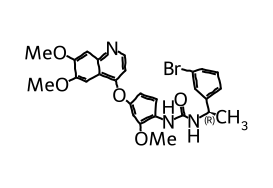 COc1cc(Oc2ccnc3cc(OC)c(OC)cc23)ccc1NC(=O)N[C@H](C)c1cccc(Br)c1